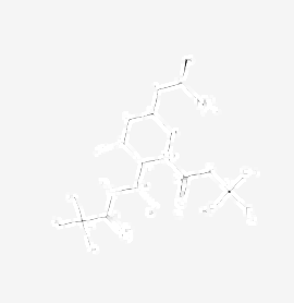 C[C@@H]1CC(C[C@@H](C)N)CN(C(=O)CC(F)(F)F)C1[C@H](C)OC(=O)C(C)(C)C